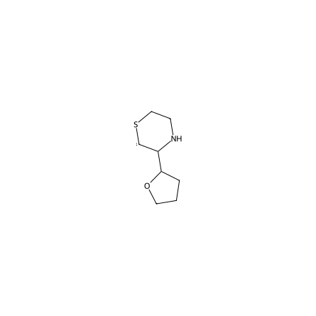 [C]1SCCNC1C1CCCO1